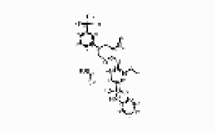 CCc1cc(S(=O)(=O)Nc2ccncn2)cnc1OC1CCC(c2cccc(C(F)(F)F)c2)CC1N(C)C.O=CO